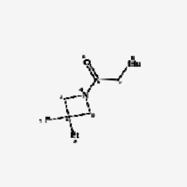 CCC1(F)CN(C(=O)CC(C)(C)C)C1